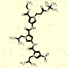 CCOC(=O)c1cc(NC(=O)c2cc(NC(=O)c3cc([N+](=O)[O-])cn3CC(C)C)cn2CC(C)C)cn1CCC(=O)OC(C)(C)C